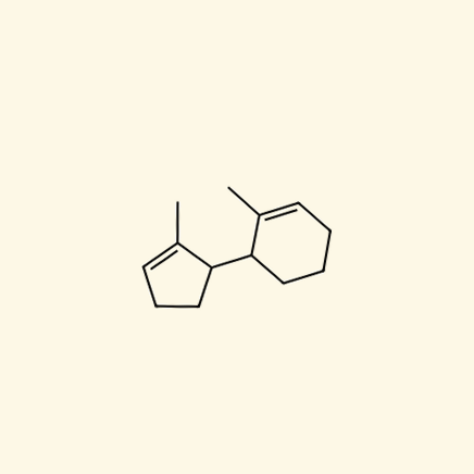 CC1=CCCC1C1CCCC=C1C